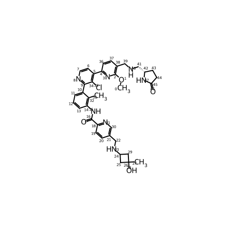 COc1nc(-c2ccnc(-c3cccc(NC(=O)c4ccc(CNC5CC(C)(O)C5)cn4)c3C)c2Cl)ccc1CNC[C@@H]1CCC(=O)N1